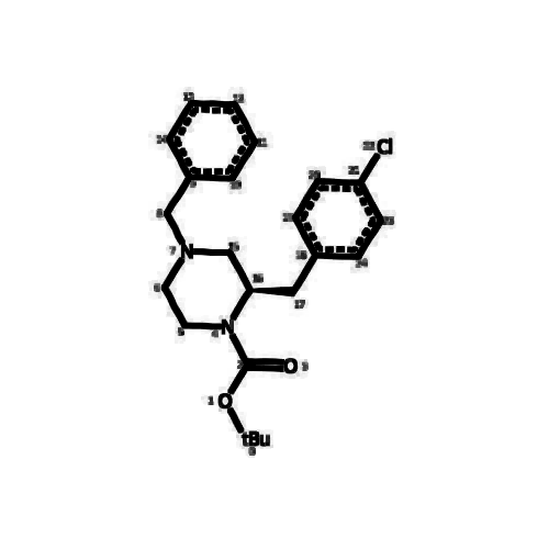 CC(C)(C)OC(=O)N1CCN(Cc2ccccc2)C[C@H]1Cc1ccc(Cl)cc1